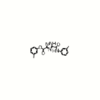 Cc1cccc(NC(=O)c2nc(C(=O)Oc3cccc(C)c3)n[nH]2)c1